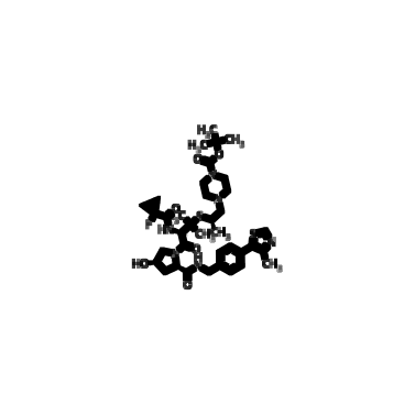 Cc1ncsc1-c1ccc(CNC(=O)[C@H]2C[C@@H](O)CN2C(=O)[C@@H](NC(=O)C2(F)CC2)C(C)(C)S[C@@H](C)CN2CCN(C(=O)OC(C)(C)C)CC2)cc1